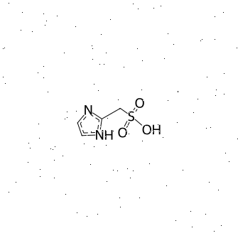 O=S(=O)(O)Cc1ncc[nH]1